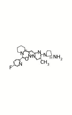 Cc1cn2nc([C@@H]3CCCCN3C(=O)c3ccc(F)cn3)cc2nc1N1CC[C@H](N)C1